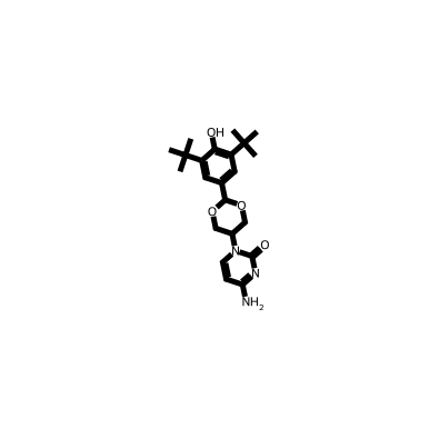 CC(C)(C)c1cc(C2OCC(n3ccc(N)nc3=O)CO2)cc(C(C)(C)C)c1O